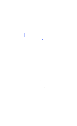 c1ccc(-c2nc3ccccc3nc2-c2ccc3c4c(ccc3c2)C(c2ccccc2)(c2ccccc2)c2ccccc2-4)cc1